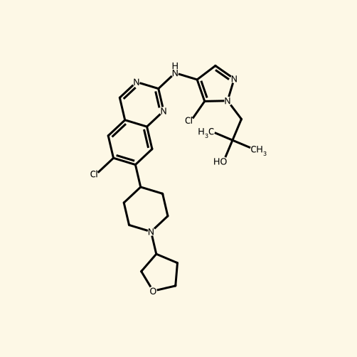 CC(C)(O)Cn1ncc(Nc2ncc3cc(Cl)c(C4CCN(C5CCOC5)CC4)cc3n2)c1Cl